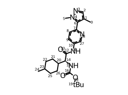 Cc1cnn(C)c1-c1ccc(NC(=O)[C@@H](NC(=O)OC(C)(C)C)C2CCC(C)CC2)cn1